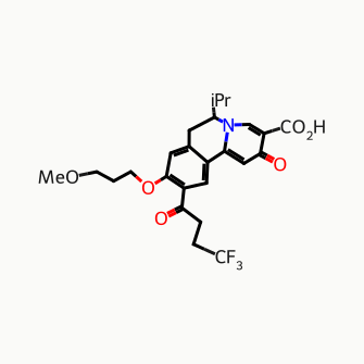 COCCCOc1cc2c(cc1C(=O)CCC(F)(F)F)-c1cc(=O)c(C(=O)O)cn1C(C(C)C)C2